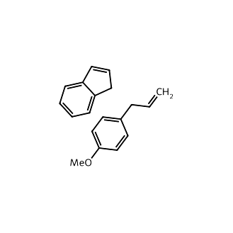 C1=Cc2ccccc2C1.C=CCc1ccc(OC)cc1